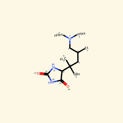 CCCCCCN(CCCCCC)CC(CC)CC(C)(CCCC)C1NC(=O)NC1=O